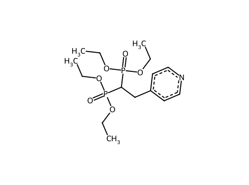 CCOP(=O)(OCC)C(Cc1ccncc1)P(=O)(OCC)OCC